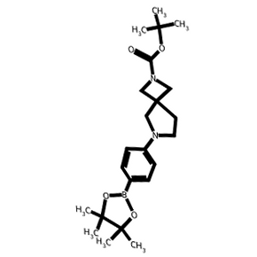 CC(C)(C)OC(=O)N1CC2(CCN(c3ccc(B4OC(C)(C)C(C)(C)O4)cc3)C2)C1